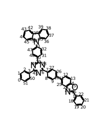 c1ccc(-c2nc(-c3ccc(-c4ccc5oc(-c6ccccc6)nc5c4)cc3)nc(-c3ccc(-n4c5ccccc5c5ccccc54)cc3)n2)cc1